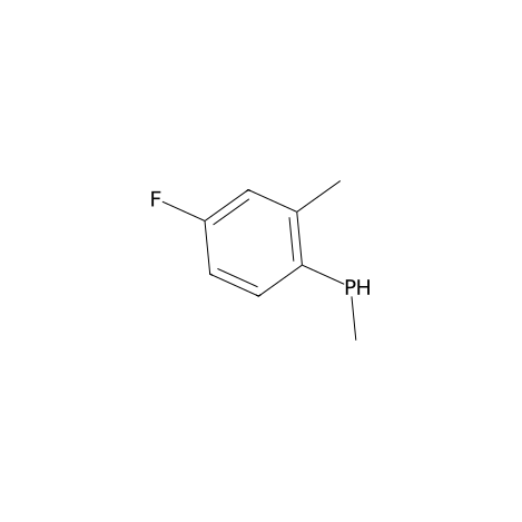 CPc1ccc(F)cc1C